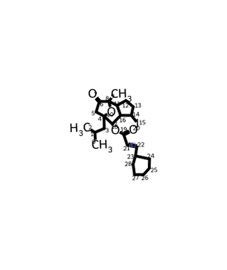 CC(C)CC12CC(=O)C(C)(O1)C1CCC(I)C1C2OC(=O)/C=C/C1CCCCC1